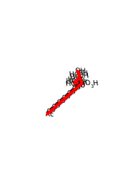 CC(=O)CCOCCOCCOCCOCCOCCOCCOCCOCCOCCOCCOCCOCCNC(=O)C(CC(=O)N(C[C@H](O)[C@@H](O)[C@H](O)[C@H](O)CO)C[C@H](O)[C@@H](O)[C@H](O)[C@H](O)CO)S(=O)(=O)O